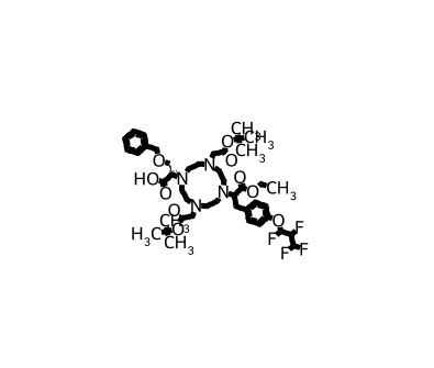 CCOC(=O)C(Cc1ccc(OC(F)C(F)C(F)F)cc1)N1CCN(CC(=O)OC(C)(C)C)CCN([C@@H](COCc2ccccc2)C(=O)O)CCN(CC(=O)OC(C)(C)C)CC1